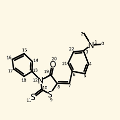 CN(C)c1ccc(/C=C2/SC(=S)N(c3ccccc3)C2=O)cc1